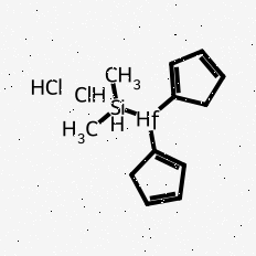 C[SiH](C)[Hf]([C]1=CC=CC1)[C]1=CC=CC1.Cl.Cl